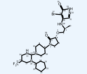 C[C@@H](CO[C@@H]1CCN(C2CCN(C3NCC(C(F)(F)F)CN3C3CCCCC3)CC2)C1=O)Nc1cn[nH]c(=O)c1Br